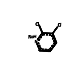 Clc1cc[c]nc1Cl.[NaH]